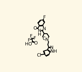 O=C(O)C(F)(F)F.O=c1[nH]c(C2CCN(CCc3n[nH]c4ccc(Cl)cc34)CC2)nc2cc(F)ccc12